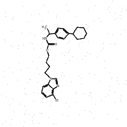 CCc1cccc2c1ncn2CCCCOC(=O)NC(C)c1ccc(C2CCCCC2)cc1